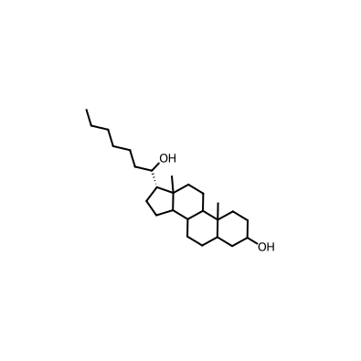 CCCCCCC(O)[C@H]1CCC2C3CCC4CC(O)CCC4(C)C3CCC21C